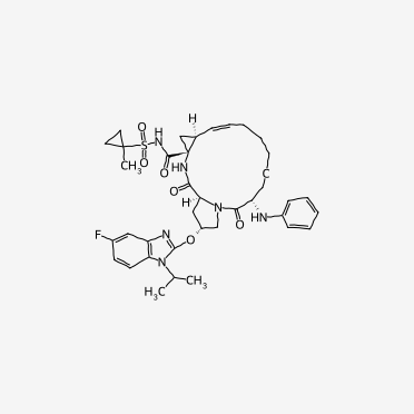 CC(C)n1c(O[C@@H]2C[C@H]3C(=O)N[C@]4(C(=O)NS(=O)(=O)C5(C)CC5)C[C@H]4/C=C\CCCCC[C@H](Nc4ccccc4)C(=O)N3C2)nc2cc(F)ccc21